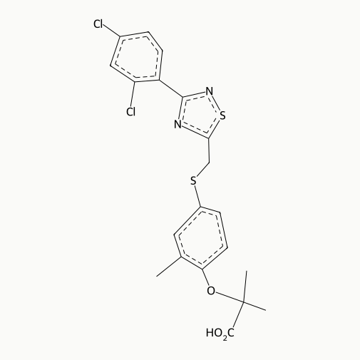 Cc1cc(SCc2nc(-c3ccc(Cl)cc3Cl)ns2)ccc1OC(C)(C)C(=O)O